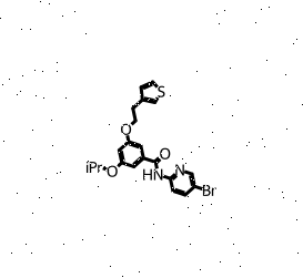 CC(C)Oc1cc(OCCc2ccsc2)cc(C(=O)Nc2ccc(Br)cn2)c1